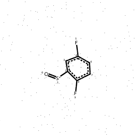 O=[S+]c1cc(F)ccc1F